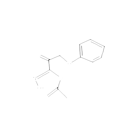 C=C(C)OC(=NO)C(=C)COc1ccccc1